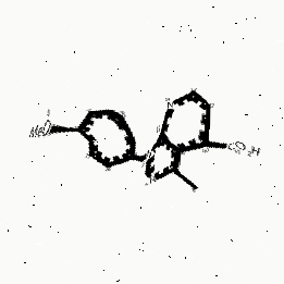 COc1ccc(-n2nc(C)c3c(C(=O)O)ccnc32)cc1